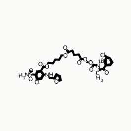 CC(C(=O)c1cccc(Cl)c1)N(C(=O)OCOC(=O)CCCC(=O)OCCCCCOC(=O)c1cc(S(N)(=O)=O)c(Cl)cc1NCc1ccco1)C(C)(C)C